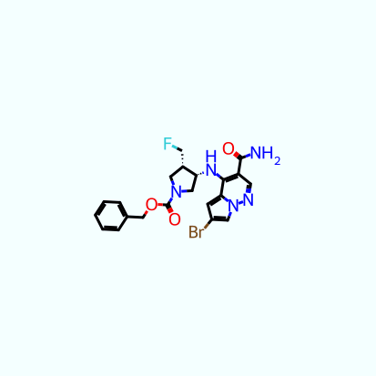 NC(=O)c1cnn2cc(Br)cc2c1N[C@@H]1CN(C(=O)OCc2ccccc2)C[C@@H]1CF